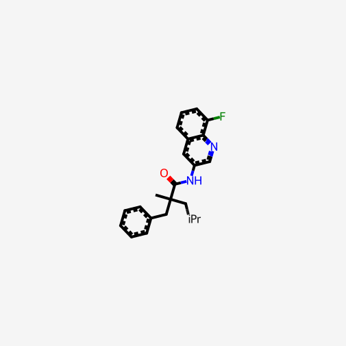 CC(C)CC(C)(Cc1ccccc1)C(=O)Nc1cnc2c(F)cccc2c1